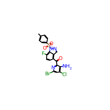 Cc1ccc(S(=O)(=O)n2ncc3c(C(=O)c4nc(Br)cc(Cl)c4N)ccc(F)c32)cc1